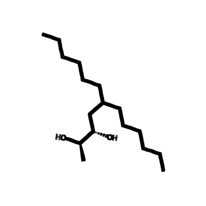 CCCCCCC(CCCCCC)C[C@H](O)[C@@H](C)O